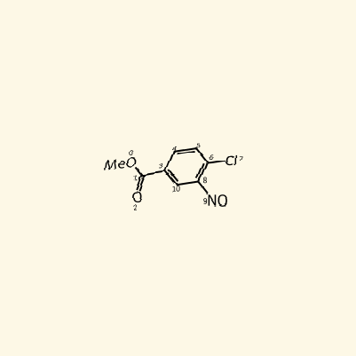 COC(=O)c1ccc(Cl)c(N=O)c1